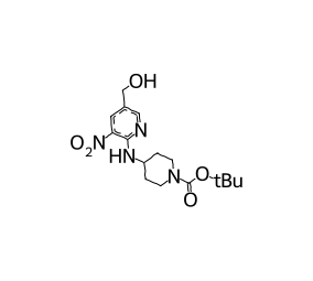 CC(C)(C)OC(=O)N1CCC(Nc2ncc(CO)cc2[N+](=O)[O-])CC1